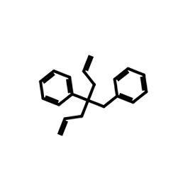 C=CCC(CC=C)(Cc1ccccc1)c1ccccc1